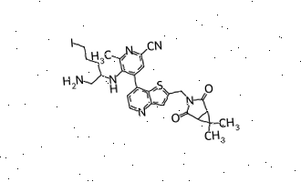 Cc1nc(C#N)cc(-c2ccnc3cc(CN4C(=O)C5C(C4=O)C5(C)C)sc23)c1NC(CN)CCCI